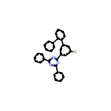 Clc1cc(-c2nc(-c3ccccc3)nc(-c3ccccc3)n2)cc(-c2ccccc2-c2ccccc2)c1